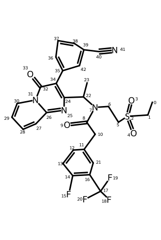 CCS(=O)(=O)CCN(C(=O)Cc1ccc(F)c(C(F)(F)F)c1)C(C)c1nc2ccccn2c(=O)c1-c1cccc(C#N)c1